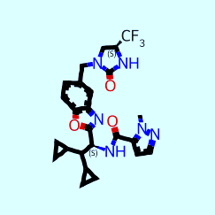 Cn1nccc1C(=O)N[C@H](c1nc2cc(CN3C[C@@H](C(F)(F)F)NC3=O)ccc2o1)C(C1CC1)C1CC1